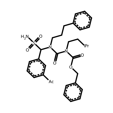 CC(=O)c1cccc(C(N(CCCc2ccccc2)C(=O)N(CCC(C)C)C(=O)OCc2ccccc2)S(N)(=O)=O)c1